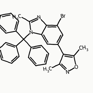 Cc1noc(C)c1-c1cc(Br)c2nc(C)n(C(c3ccccc3)(c3ccccc3)c3ccccc3)c2c1